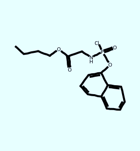 CCCCOC(=O)CNP(=O)(Cl)Oc1cccc2ccccc12